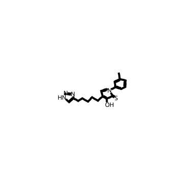 Cc1cccc(-n2ccc(CCCCCc3c[nH]nn3)c(O)c2=S)c1